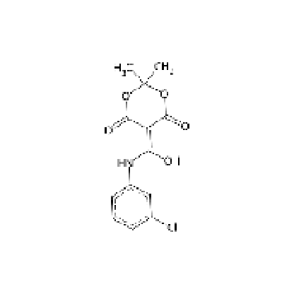 CC1(C)OC(=O)C(=C(O)Nc2cccc(Cl)c2)C(=O)O1